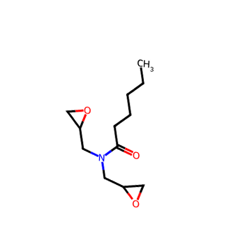 CCCCCC(=O)N(CC1CO1)CC1CO1